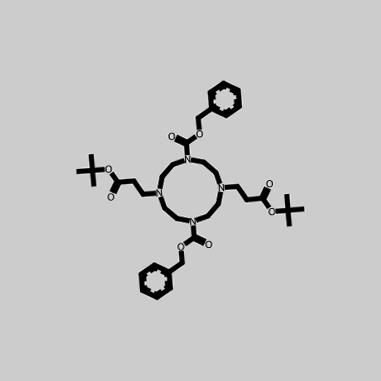 CC(C)(C)OC(=O)CCN1CCN(C(=O)OCc2ccccc2)CCN(CCC(=O)OC(C)(C)C)CCN(C(=O)OCc2ccccc2)CC1